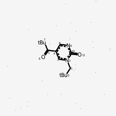 CC(C)(C)Cn1cc(C(=O)C(C)(C)C)cnc1=O